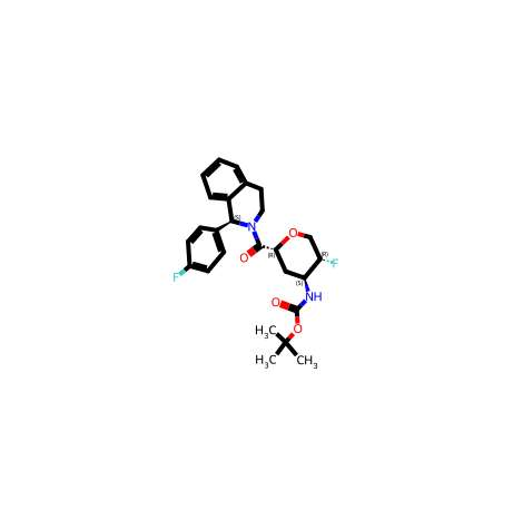 CC(C)(C)OC(=O)N[C@H]1C[C@H](C(=O)N2CCc3ccccc3[C@@H]2c2ccc(F)cc2)OC[C@@H]1F